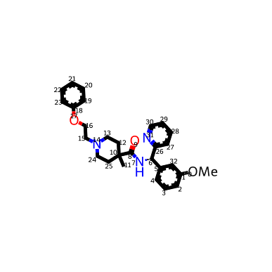 COc1cccc([C@H](NC(=O)C2(C)CCN(CCOc3ccccc3)CC2)c2ccccn2)c1